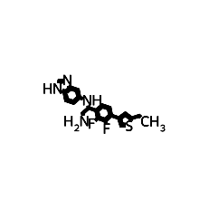 CCc1cc(-c2ccc(C(CN)Nc3ccc4[nH]cnc4c3)c(F)c2F)cs1